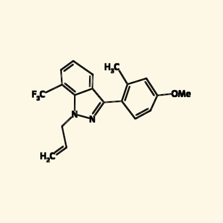 C=CCn1nc(-c2ccc(OC)cc2C)c2cccc(C(F)(F)F)c21